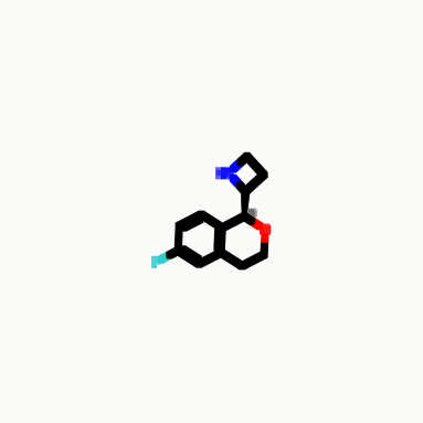 Fc1ccc2c(c1)CCO[C@@H]2C1CCN1